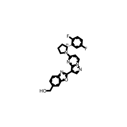 OCc1ccc2nc(-c3cnn4ccc(N5CCC[C@@H]5c5cc(F)ccc5F)nc34)oc2c1